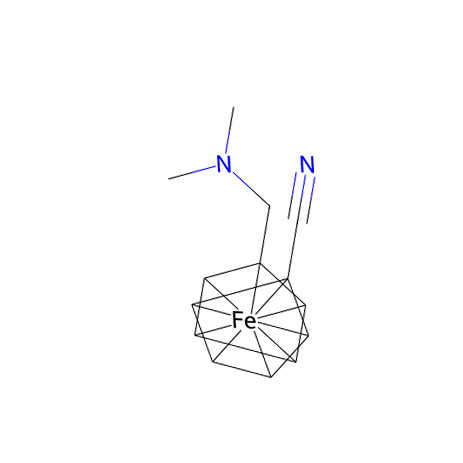 CN(C)C[C]12[CH]3[CH]4[CH]5[CH]1[Fe]45321678[CH]2[CH]1[CH]6[C]7(C#N)[CH]28